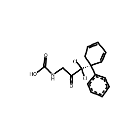 O=C(O)NCC(=O)C(Cl)(Cl)[C@@]1(c2ccccc2)C=CC=CC1